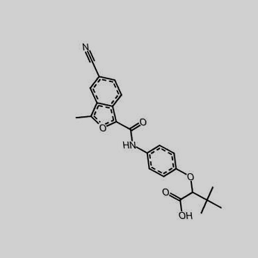 Cc1oc(C(=O)Nc2ccc(OC(C(=O)O)C(C)(C)C)cc2)c2ccc(C#N)cc12